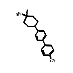 CCCC1(C)CCC(c2ccc(-c3ccc(C#N)cc3)cc2)CC1